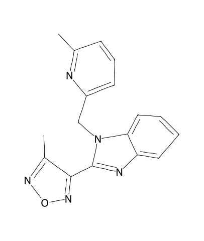 Cc1cccc(Cn2c(-c3nonc3C)nc3ccccc32)n1